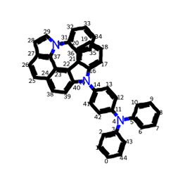 c1ccc(N(c2ccccc2)c2ccc(-n3c4ccccc4c4c5c(ccc6ccn(-c7ccccc7)c65)ccc43)cc2)cc1